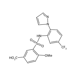 COc1ccc(C(=O)O)cc1S(=O)(=O)Nc1cc(C(F)(F)F)ccc1-n1cccn1